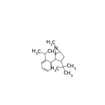 CC(C)c1ccccc1C1C2C(CC1C(C)(C)C)N2C